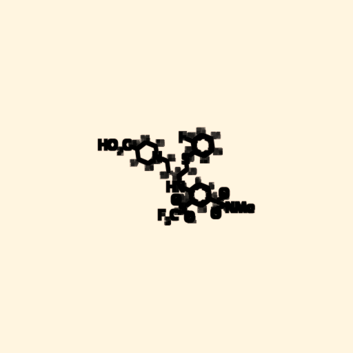 CNS(=O)(=O)c1ccc(N[C@H](CCN2CCC(C(=O)O)CC2)CSc2ccccc2F)c(S(=O)(=O)C(F)(F)F)c1